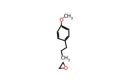 C1CO1.CCCc1ccc(OC)cc1